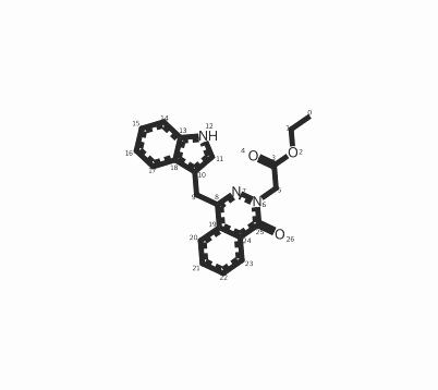 CCOC(=O)Cn1nc(Cc2c[nH]c3ccccc23)c2ccccc2c1=O